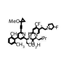 COC1(C#Cc2cc(-c3c(C)cccc3C)cc([C@H](CC(=O)O)NC(=O)[C@H](CC(C)C)n3cc(CCN4CC[C@@H](F)C4)c(C(F)(F)F)cc3=O)n2)CC1